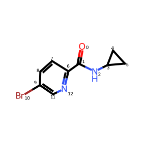 O=C(NC1CC1)c1ccc(Br)cn1